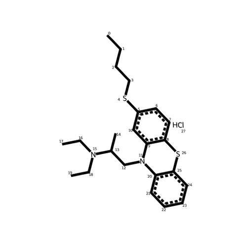 CCCCSc1ccc2c(c1)N(CC(C)N(CC)CC)c1ccccc1S2.Cl